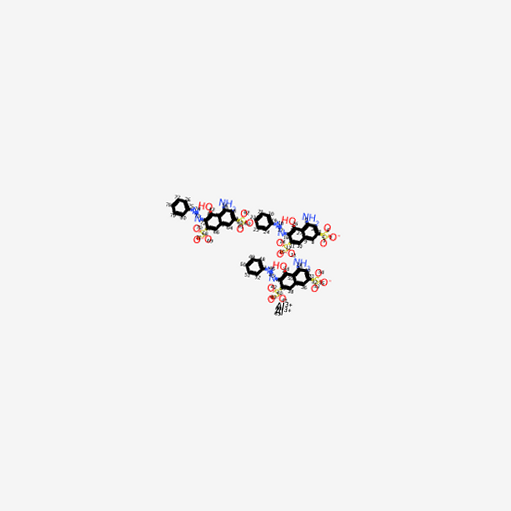 Nc1cc(S(=O)(=O)[O-])cc2cc(S(=O)(=O)[O-])c(N=Nc3ccccc3)c(O)c12.Nc1cc(S(=O)(=O)[O-])cc2cc(S(=O)(=O)[O-])c(N=Nc3ccccc3)c(O)c12.Nc1cc(S(=O)(=O)[O-])cc2cc(S(=O)(=O)[O-])c(N=Nc3ccccc3)c(O)c12.[Al+3].[Al+3]